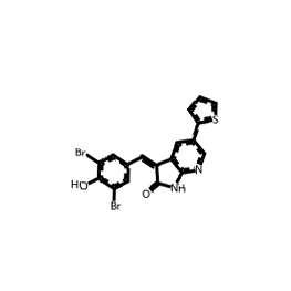 O=C1Nc2ncc(-c3cccs3)cc2C1=Cc1cc(Br)c(O)c(Br)c1